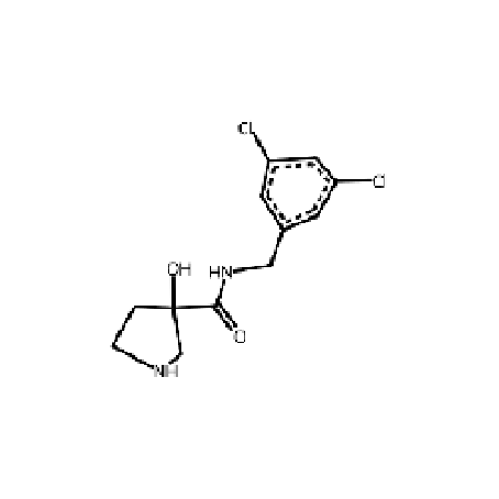 O=C(NCc1cc(Cl)cc(Cl)c1)C1(O)CCNC1